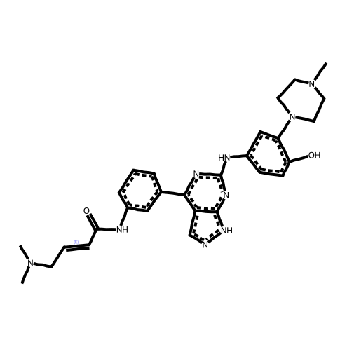 CN(C)C/C=C/C(=O)Nc1cccc(-c2nc(Nc3ccc(O)c(N4CCN(C)CC4)c3)nc3[nH]ncc23)c1